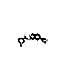 O=C(Nc1cc2cc(-c3cnco3)ccc2cn1)[C@@H]1CCCNC1